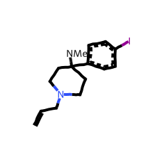 C=CCN1CCC(NC)(c2ccc(I)cc2)CC1